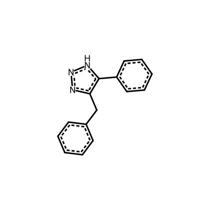 c1ccc(Cc2nn[nH]c2-c2ccccc2)cc1